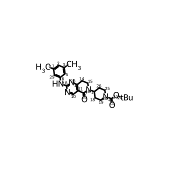 Cc1cc(C)cc(Nc2ncc3c(n2)CCN(C2CCN(C(=O)OC(C)(C)C)CC2)C3=O)c1